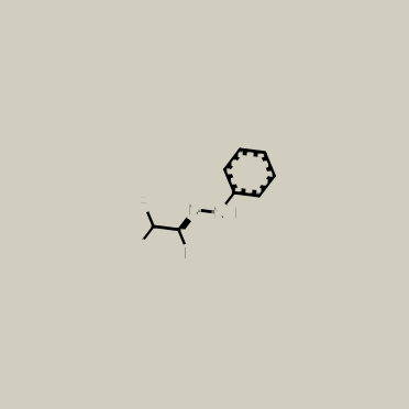 FC(=NNc1ccccc1)C(F)F